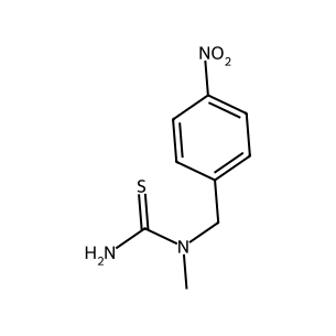 CN(Cc1ccc([N+](=O)[O-])cc1)C(N)=S